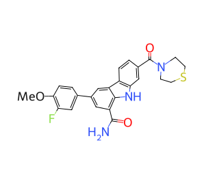 COc1ccc(-c2cc(C(N)=O)c3[nH]c4cc(C(=O)N5CCSCC5)ccc4c3c2)cc1F